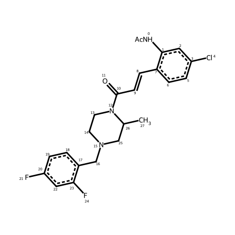 CC(=O)Nc1cc(Cl)ccc1/C=C/C(=O)N1CCN(Cc2ccc(F)cc2F)CC1C